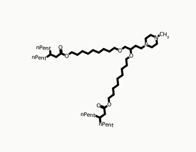 CCCCCC(CCCCC)CC(=O)OCCCCCCCCCOCC(CCN1CCN(C)CC1)OCCCCCCCCCOC(=O)CC(CCCCC)CCCCC